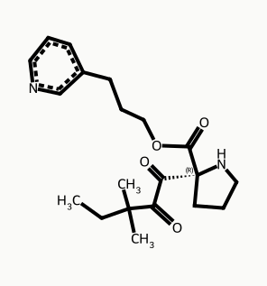 CCC(C)(C)C(=O)C(=O)[C@@]1(C(=O)OCCCc2cccnc2)CCCN1